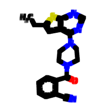 CCc1cc2c(N3CCN(C(=O)c4ccccc4C#N)CC3)ncnc2s1